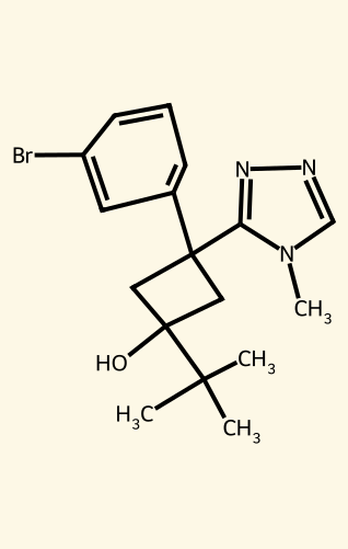 Cn1cnnc1C1(c2cccc(Br)c2)CC(O)(C(C)(C)C)C1